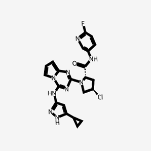 O=C(Nc1ccc(F)nc1)[C@@H]1C[C@@H](Cl)CN1c1nc(Nc2cc(C3CC3)[nH]n2)n2cccc2n1